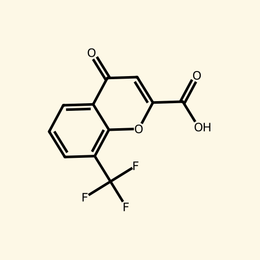 O=C(O)c1cc(=O)c2cccc(C(F)(F)F)c2o1